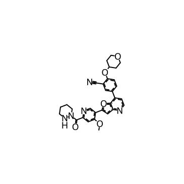 COc1cc(C(=O)N2CCCCN2)ncc1-c1cc2nccc(-c3ccc(OC4CCOCC4)c(C#N)c3)c2o1